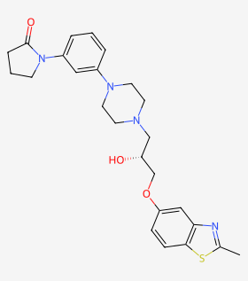 Cc1nc2cc(OC[C@H](O)CN3CCN(c4cccc(N5CCCC5=O)c4)CC3)ccc2s1